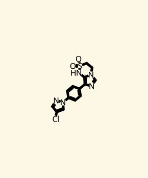 O=S1(=O)CCn2cnc(-c3ccc(-n4cc(Cl)cn4)cc3)c2N1